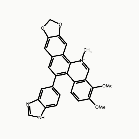 COc1ccc2c(c[n+](C)c3c4cc5c(cc4cc(-c4ccc6[nH]cnc6c4)c23)OCO5)c1OC